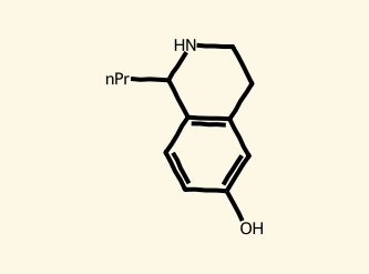 CCCC1NCCc2cc(O)ccc21